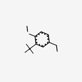 CSc1ccc(CCl)cc1C(F)(F)F